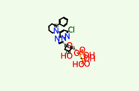 O=P(O)(O)CP(=O)(O)OC[C@H]1O[C@@H](c2cnc3c(N4CCCC[C@H]4c4ccccc4)cc(Cl)nn23)C[C@@H]1O